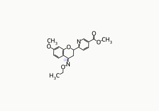 CCO/N=C1/CC(c2ccc(C(=O)OC)cn2)Oc2cc(OC)ccc21